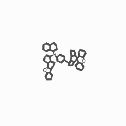 c1ccc2c(c1)Oc1ccccc1C21c2ccccc2-c2c(-c3ccc(N(c4cccc5ccccc45)c4cccc5c4ccc4c6ccccc6oc54)cc3)cccc21